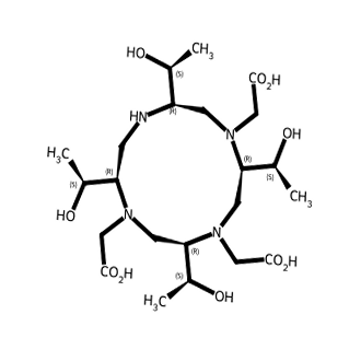 C[C@H](O)[C@H]1CN[C@@H]([C@H](C)O)CN(CC(=O)O)[C@@H]([C@H](C)O)CN(CC(=O)O)[C@@H]([C@H](C)O)CN1CC(=O)O